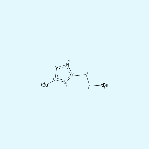 CC(C)(C)CCc1ncc(C(C)(C)C)s1